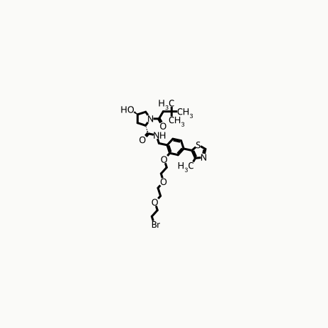 Cc1ncsc1-c1ccc(CNC(=O)[C@@H]2C[C@@H](O)CN2C(=O)CC(C)(C)C)c(OCCOCCOCCBr)c1